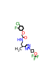 C=C(CCNC(=O)COc1ccc(Cl)c(F)c1)c1cnn([C@H]2C[C@@H](OC(F)(F)F)C2)n1